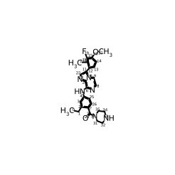 CCc1cc(Nc2nccn3c(-c4ccc(OC)c(F)c4C)cnc23)ccc1C(=O)N1CCNCC1